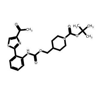 CC(=O)c1csc(-c2ccccc2NC(=O)OCC2CCN(C(=O)OC(C)(C)C)CC2)n1